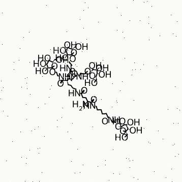 N[C@@H](CCC(=O)NCCCC[C@@H](C(=O)NCCO[C@H]1O[C@H](CO)[C@@H](O)[C@H](O)[C@@H]1O)N(CC(=O)NCCO[C@H]1O[C@H](CO)[C@@H](O)[C@H](O)[C@@H]1O)CC(=O)NCCO[C@H]1O[C@H](CO)[C@@H](O)[C@H](O)[C@@H]1O)C(=O)NCCCCCC(=O)NCCO[C@H]1O[C@H](CO)[C@@H](O)[C@H](O)[C@@H]1O